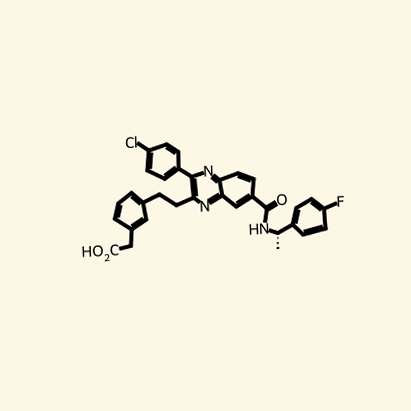 C[C@H](NC(=O)c1ccc2nc(-c3ccc(Cl)cc3)c(CCc3cccc(CC(=O)O)c3)nc2c1)c1ccc(F)cc1